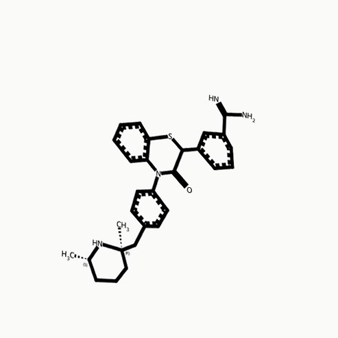 C[C@H]1CCC[C@](C)(Cc2ccc(N3C(=O)C(c4cccc(C(=N)N)c4)Sc4ccccc43)cc2)N1